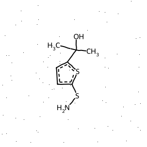 CC(C)(O)c1ccc(SN)s1